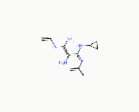 C=CN/C(N)=C(N)/C(=N\C(=C)C)NC1CC1